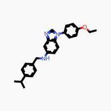 CCOc1ccc(-n2cnc3cc(NCc4ccc(C(C)C)cc4)ccc32)cc1